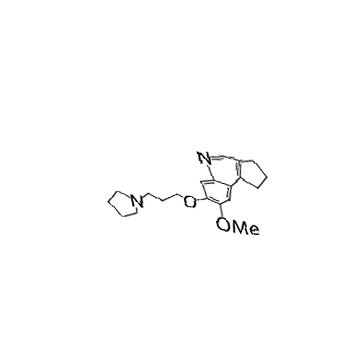 COc1cc2c3c(cnc2cc1OCCCN1CCCC1)CCC3